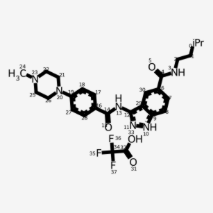 CC(C)CCNC(=O)c1ccc2[nH]nc(NC(=O)c3ccc(N4CCN(C)CC4)cc3)c2c1.O=C(O)C(F)(F)F